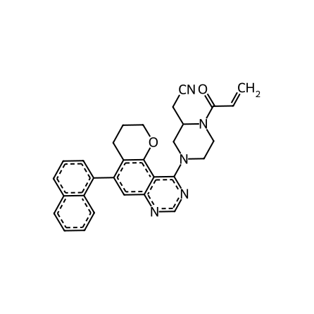 C=CC(=O)N1CCN(c2ncnc3cc(-c4cccc5ccccc45)c4c(c23)OCCC4)CC1CC#N